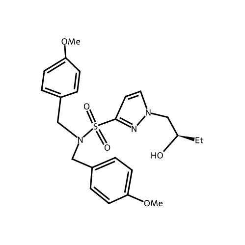 CC[C@@H](O)Cn1ccc(S(=O)(=O)N(Cc2ccc(OC)cc2)Cc2ccc(OC)cc2)n1